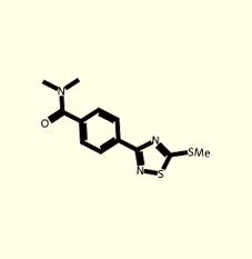 CSc1nc(-c2ccc(C(=O)N(C)C)cc2)ns1